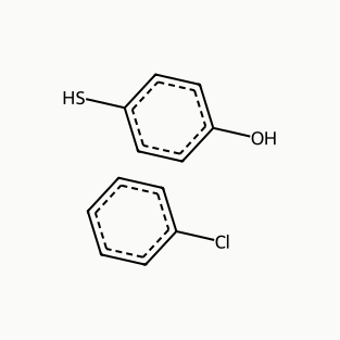 Clc1ccccc1.Oc1ccc(S)cc1